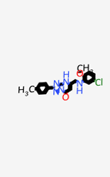 COc1ccc(Cl)cc1NCc1cc(=O)n2nc(-c3ccc(C)cc3)nc2[nH]1